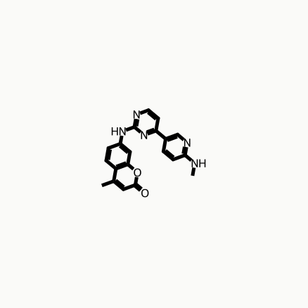 CNc1ccc(-c2ccnc(Nc3ccc4c(C)cc(=O)oc4c3)n2)cn1